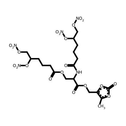 Cc1oc(=O)oc1COC(=O)C(COC(=O)CCCC(CO[N+](=O)[O-])O[N+](=O)[O-])NC(=O)CCCC(CO[N+](=O)[O-])O[N+](=O)[O-]